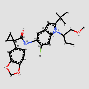 CCC(COC)n1c(C(C)(C)C)cc2cc(NC(=O)C3(c4ccc5c(c4)OCO5)CC3)c(F)cc21